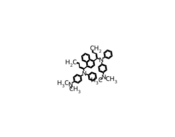 C=C/C=C(\c1ccc(/C(=C\C=C)N(c2ccccc2)c2ccc(N(C)C)cc2)c2ccccc12)N(c1ccccc1)c1ccc(N(C)C)cc1